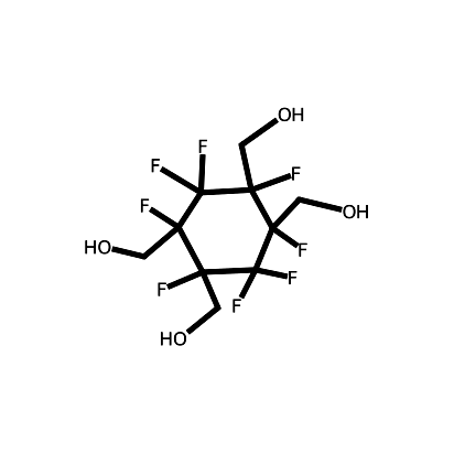 OCC1(F)C(F)(F)C(F)(CO)C(F)(CO)C(F)(F)C1(F)CO